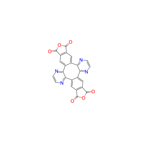 O=c1oc(=O)c2cc3c(cc12)c1nccnc1c1cc2c(=O)oc(=O)c2cc1c1nccnc31